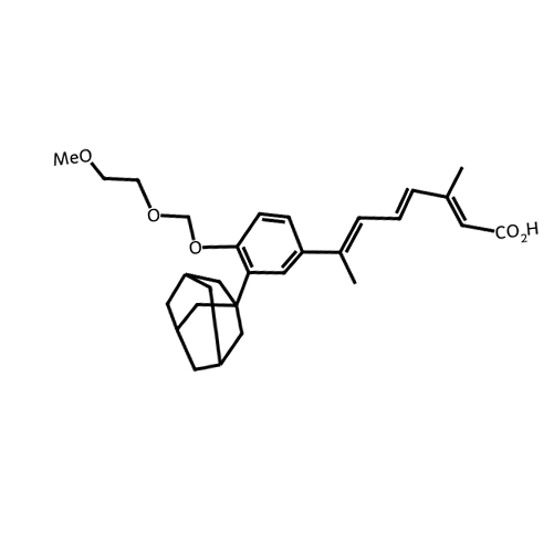 COCCOCOc1ccc(C(C)=CC=CC(C)=CC(=O)O)cc1C12CC3CC(CC(C3)C1)C2